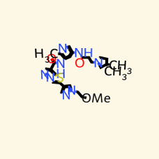 COCCn1cc(-c2cn3ncc(C(=O)Nc4cc(NC(=O)CCN5CCC(C)(C)C5)cnc4C)c3s2)cn1